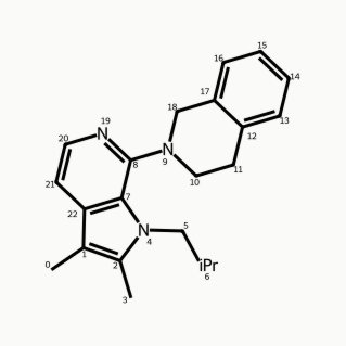 Cc1c(C)n(CC(C)C)c2c(N3CCc4ccccc4C3)nccc12